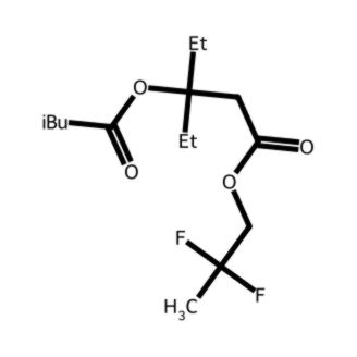 CCC(C)C(=O)OC(CC)(CC)CC(=O)OCC(C)(F)F